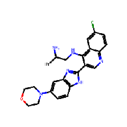 CC(C)C(N)CNc1c(-c2nc3cc(N4CCOCC4)ccc3[nH]2)cnc2ccc(Cl)cc12